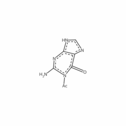 CC(=O)n1c(N)nc2[nH]cnc2c1=O